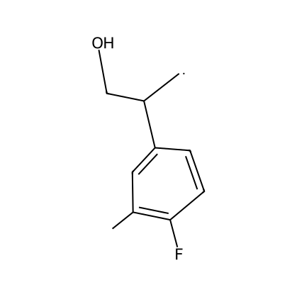 [CH2]C(CO)c1ccc(F)c(C)c1